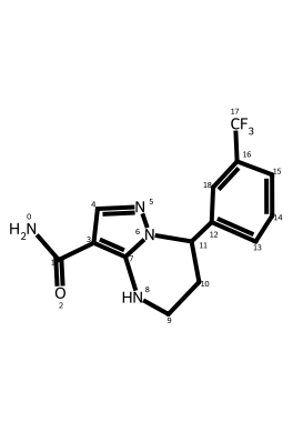 NC(=O)c1cnn2c1NCCC2c1cccc(C(F)(F)F)c1